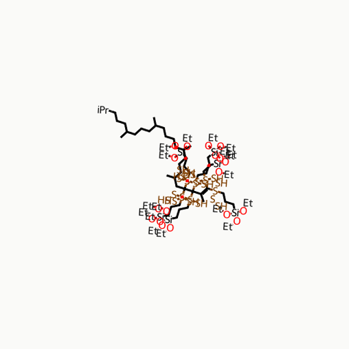 CCO[Si](CCCS(S)(SS)C(=C(C)C(C(CC(C)CCCC(C)CCCCC(C)CCCC(C)CCCC(C)C)(S(S)(CCC[Si](OCC)(OCC)OCC)SS)S(S)(CCC[Si](OCC)(OCC)OCC)SS)(S(S)(CCC[Si](OCC)(OCC)OCC)SS)S(S)(CCC[Si](OCC)(OCC)OCC)SS)S(S)(CCC[Si](OCC)(OCC)OCC)SS)(OCC)OCC